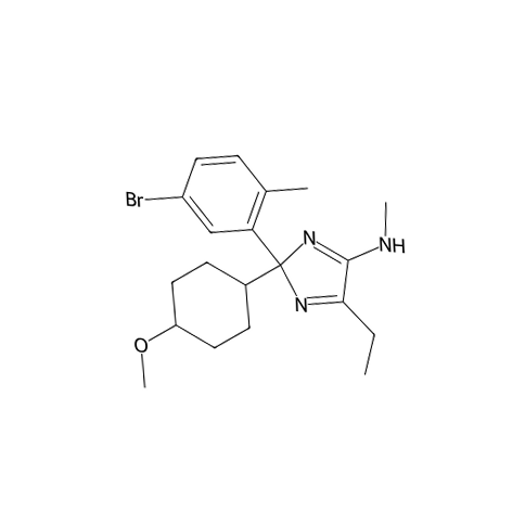 CCC1=NC(c2cc(Br)ccc2C)(C2CCC(OC)CC2)N=C1NC